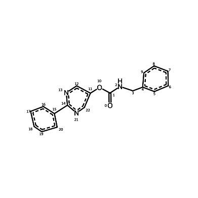 O=C(NCc1ccccc1)Oc1cnc(-c2ccccc2)nc1